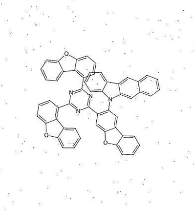 c1ccc2cc3c(cc2c1)c1ccccc1n3-c1cc2c(cc1-c1nc(-c3cccc4oc5ccccc5c34)nc(-c3cccc4oc5ccccc5c34)n1)oc1ccccc12